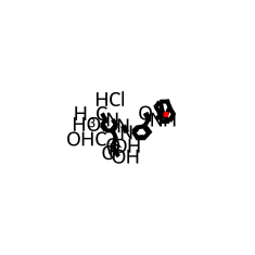 Cc1nc(N=Nc2cccc(C(=O)NC34CC5CC(CC(C5)C3)C4)c2)c(COP(=O)(O)O)c(C=O)c1O.Cl